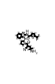 CC(C)(N)C=C(C#N)C(=O)N1CCC[C@@H]1Cn1c(NC(=O)c2ccc(C(F)F)s2)nc2ccccc21